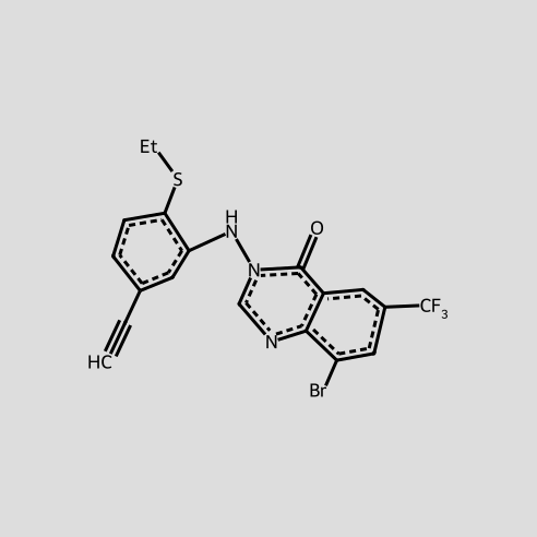 C#Cc1ccc(SCC)c(Nn2cnc3c(Br)cc(C(F)(F)F)cc3c2=O)c1